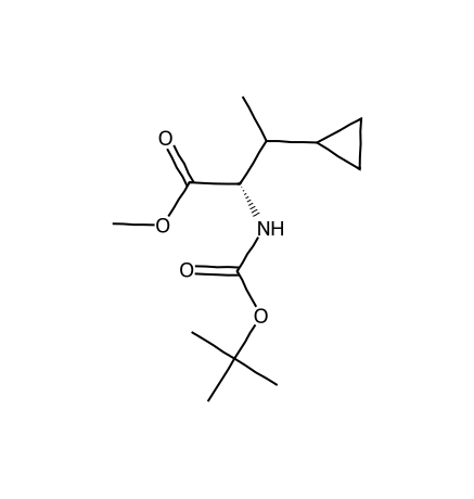 COC(=O)[C@@H](NC(=O)OC(C)(C)C)C(C)C1CC1